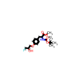 COC(=O)C(Cc1ccc(OCC(O)CF)cc1)NC(=O)OC(C)(C)C